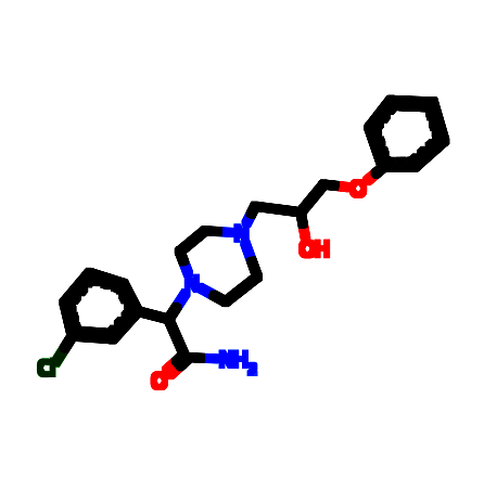 NC(=O)C(c1cccc(Cl)c1)N1CCN(CC(O)COc2ccccc2)CC1